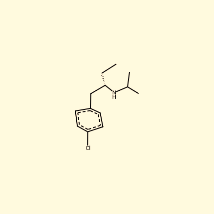 CC[C@@H](Cc1ccc(Cl)cc1)NC(C)C